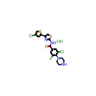 Cl.O=C(Nc1nc(-c2cc(Cl)cs2)cs1)c1cc(F)c(N2CCNCC2)c(Cl)c1